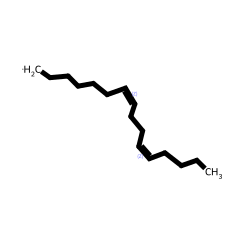 [CH2]CCCCC/C=C\CC/C=C\CCCC